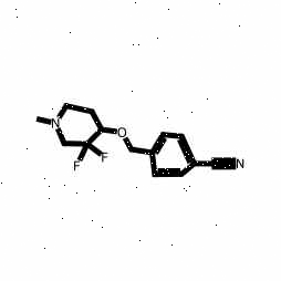 CN1CCC(OCc2ccc(C#N)cc2)C(F)(F)C1